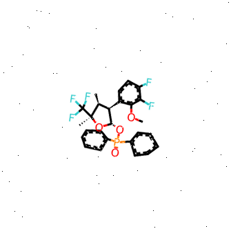 COc1c([C@H]2[C@H](OP(=O)(c3ccccc3)c3ccccc3)O[C@@](C)(C(F)(F)F)[C@H]2C)ccc(F)c1F